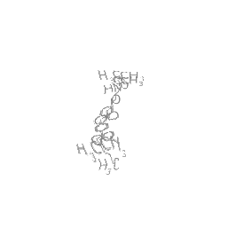 CCCCC(C)(C)OC(=O)c1ccc(OC(=O)OCCOCCNC(=O)OC(C)(C)C)cc1